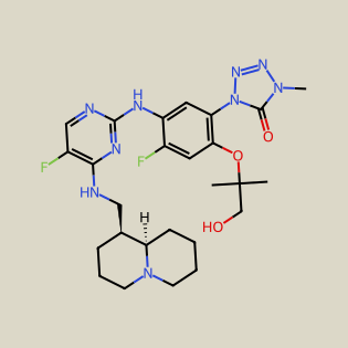 Cn1nnn(-c2cc(Nc3ncc(F)c(NC[C@@H]4CCCN5CCCC[C@H]45)n3)c(F)cc2OC(C)(C)CO)c1=O